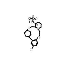 CS(=O)(=O)N[C@H]1CCCN2CCOc3ccc(Cl)cc3C3CCC(CC3)OCC12